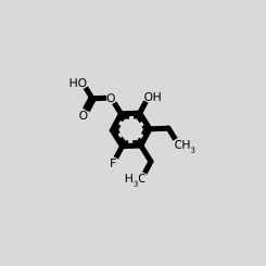 CCc1c(F)cc(OC(=O)O)c(O)c1CC